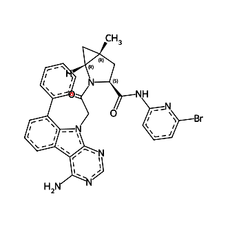 C[C@@]12C[C@@H](C(=O)Nc3cccc(Br)n3)N(C(=O)Cn3c4ncnc(N)c4c4cccc(-c5ccccc5)c43)[C@@H]1C2